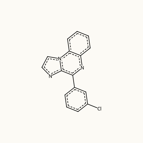 Clc1cccc(-c2nc3ccccc3n3ccnc23)c1